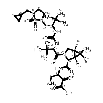 CCC(NC(=O)[C@@H]1[C@@H]2[C@H](CN1C(=O)[C@@H](NC(=O)N[C@H](CN1CCN(CC3CC3)S1(=O)=O)C(C)(C)C)C(C)(C)C)C2(C)C)C(=O)C(N)=O